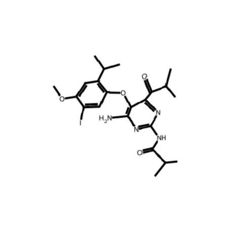 COc1cc(C(C)C)c(Oc2c(N)nc(NC(=O)C(C)C)nc2C(=O)C(C)C)cc1I